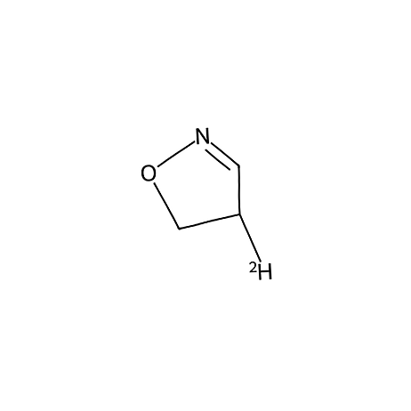 [2H]C1C=NOC1